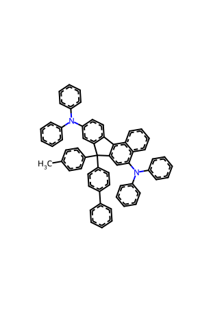 Cc1ccc(C2(c3ccc(-c4ccccc4)cc3)c3cc(N(c4ccccc4)c4ccccc4)ccc3-c3c2cc(N(c2ccccc2)c2ccccc2)c2ccccc32)cc1